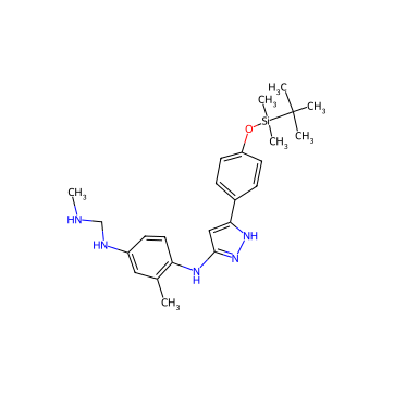 CNCNc1ccc(Nc2cc(-c3ccc(O[Si](C)(C)C(C)(C)C)cc3)[nH]n2)c(C)c1